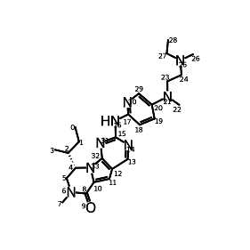 CCC(C)[C@H]1CN(C)C(=O)c2cc3cnc(Nc4ccc(N(C)CCN(C)CC)cn4)nc3n21